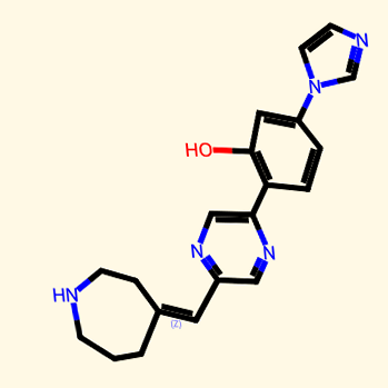 Oc1cc(-n2ccnc2)ccc1-c1cnc(/C=C2/CCCNCC2)cn1